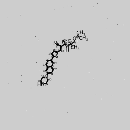 CC(C)OCC(C)(C)NC(=O)/C(C#N)=C/c1ccc(-c2ccc3cc(N4CCNCC4)ccc3c2)s1